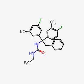 N#Cc1cc(F)cc(C(Cc2ccccc2)(NC(=O)NCC(F)(F)F)c2ccc(F)c(C(F)(F)F)c2)c1